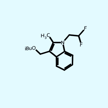 Cc1c(COCC(C)C)c2ccccc2n1CC(F)F